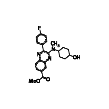 COC(=O)c1ccc2nc(-c3ccc(F)cc3)c(N(C)C3CCC(O)CC3)nc2c1